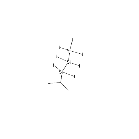 CC(C)[Si](I)(I)[Si](I)(I)[Si](I)(I)I